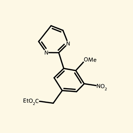 CCOC(=O)Cc1cc(-c2ncccn2)c(OC)c([N+](=O)[O-])c1